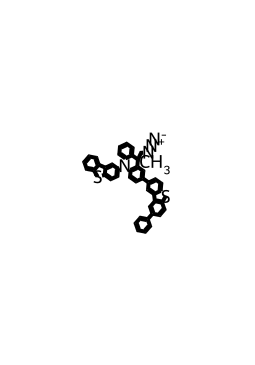 CC1(CN=[N+]=[N-])c2ccccc2N(c2ccc3sc4ccccc4c3c2)c2ccc(-c3ccc4sc5ccc(-c6ccccc6)cc5c4c3)cc21